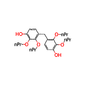 CCCOc1c(O)ccc(Cc2ccc(O)c(OCCC)c2OCCC)c1OCCC